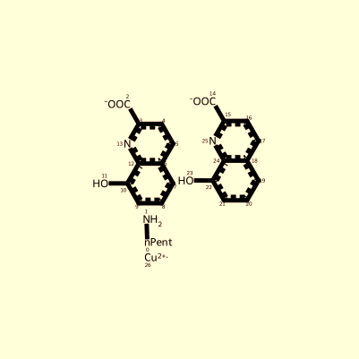 CCCCCN.O=C([O-])c1ccc2cccc(O)c2n1.O=C([O-])c1ccc2cccc(O)c2n1.[Cu+2]